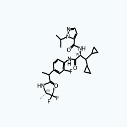 CC(C(=O)N[C@@H](C)C(F)(F)F)c1ccc(NC(=O)[C@@H](NC(=O)c2ccnn2C(C)C)C(C2CC2)C2CC2)c(F)c1